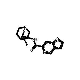 O=C(N[C@H]1CN2CCC1CC2)c1cc2occc2cn1